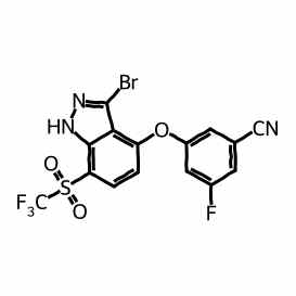 N#Cc1cc(F)cc(Oc2ccc(S(=O)(=O)C(F)(F)F)c3[nH]nc(Br)c23)c1